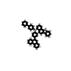 c1ccc(-c2ccc(N(c3ccc(-c4cc5ccccc5c5ccccc45)cc3)c3cccc4c3ccc3c5ccccc5sc43)cc2)cc1